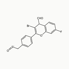 O=CC1C(Br)=C(c2ccc(C[S+]=O)cc2)Oc2cc(F)ccc21